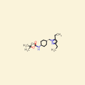 CCc1cc(CC)n(C[C@H]2CC[C@H](NC(=O)OC(C)(C)C)CC2)n1